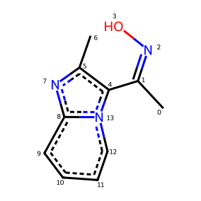 C/C(=N/O)c1c(C)nc2ccccn12